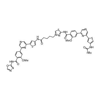 CCCCC(=O)Nc1csc(-c2cncc(-c3ccc(C(=O)Nc4n[n+](CCCCC(=O)Nc5csc(-c6cncc(-c7ccc(C(=O)Nc8nnco8)c(OC)c7)n6)c5)cs4)c(OC)c3)n2)c1